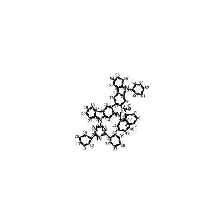 S=P1(c2ccccc2)c2cc3c(cc2-c2cc4c5ccccc5n(-c5nc(-c6ccccc6)nc(-c6ccccc6)n5)c4cc2N1c1ccccc1)c1ccccc1n3-c1ccccc1